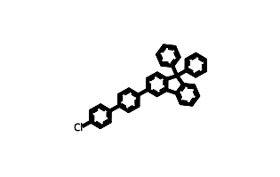 Clc1ccc(-c2ccc(-c3ccc4c(c3)-c3ccccc3C4(c3ccccc3)c3ccccc3)cc2)cc1